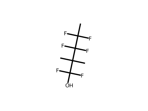 CC(F)(F)C(F)(F)C(C)(C)C(O)(F)F